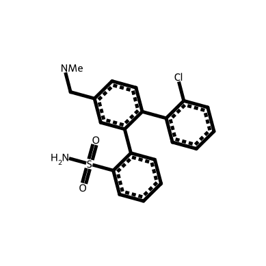 CNCc1ccc(-c2ccccc2Cl)c(-c2ccccc2S(N)(=O)=O)c1